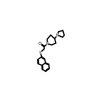 O=C(CSc1ccc2ccccc2c1)N1CCC(N2CCCC2)CC1